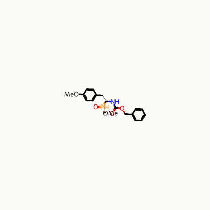 COc1ccc(C[C@H](NC(=O)OCc2ccccc2)[PH](=O)OC)cc1